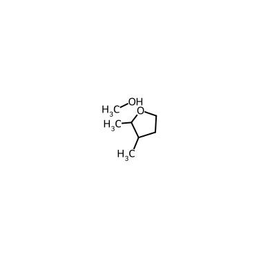 CC1CCOC1C.CO